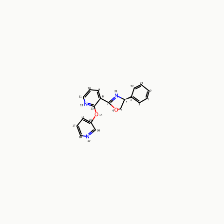 c1ccc([C@H]2COC(c3cccnc3Oc3cccnc3)=N2)cc1